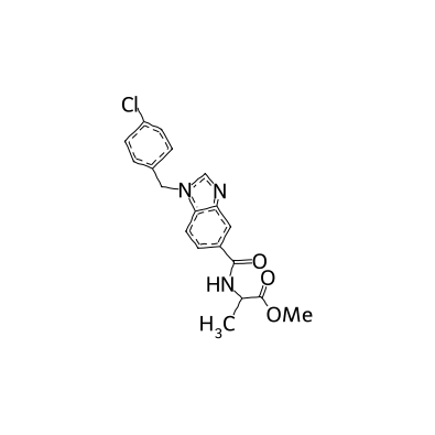 COC(=O)C(C)NC(=O)c1ccc2c(c1)ncn2Cc1ccc(Cl)cc1